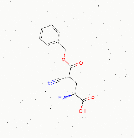 N#CC(C[C@H](N)C(=O)O)C(=O)OCc1ccccc1